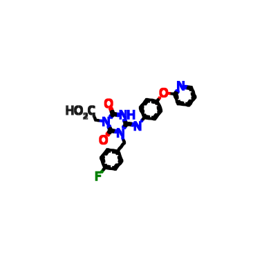 O=C(O)Cn1c(=O)[nH]/c(=N\c2ccc(Oc3ccccn3)cc2)n(Cc2ccc(F)cc2)c1=O